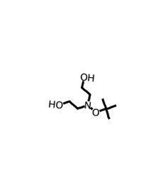 CC(C)(C)ON(CCO)CCO